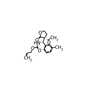 C=CCOC(=O)N[C@@H](c1cccc(C)c1)[C@]1(C(C)=O)CCOC1=O